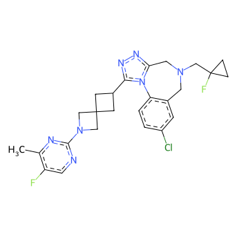 Cc1nc(N2CC3(CC(c4nnc5n4-c4ccc(Cl)cc4CN(CC4(F)CC4)C5)C3)C2)ncc1F